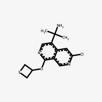 CC(C)(N)c1cnc(OC2CSC2)c2cnc(Cl)cc12